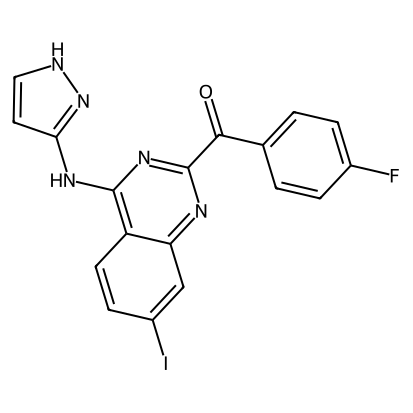 O=C(c1ccc(F)cc1)c1nc(Nc2cc[nH]n2)c2ccc(I)cc2n1